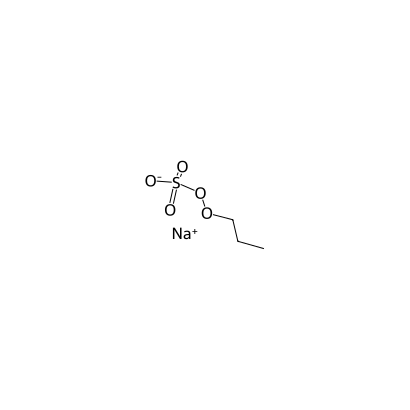 CCCOOS(=O)(=O)[O-].[Na+]